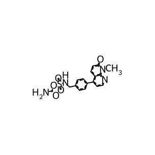 Cn1c(=O)ccc2c(-c3ccc(CNS(=O)(=O)OC(N)=O)cc3)ccnc21